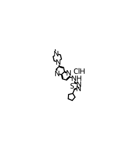 CN1CCN(c2cnc3ccc(Nc4nnc(C5CCCC5)s4)nc3c2)CC1.Cl